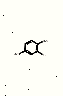 CC(=O)Oc1ccc(OC(C)=O)c(C(C)(C)C)c1